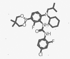 CC(C)CN(c1ccc(B2OCC(C)(C)CO2)c(F)c1NC(=O)Nc1ccc(Cl)cc1F)C1CCCCC1